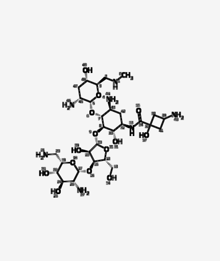 CNC[C@H]1O[C@H](O[C@H]2[C@H](O[C@@H]3O[C@H](CO)[C@@H](O[C@H]4O[C@@H](CN)[C@@H](O)[C@H](O)[C@H]4N)[C@H]3O)[C@@H](O)[C@H](NC(=O)C3(O)CC(N)C3)C[C@@H]2N)[C@H](N)C[C@@H]1O